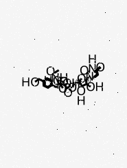 CC(=O)Nc1cc(CO)ccc1CP(=O)(O)OP(=O)(O)OC[C@H]1O[C@@H](n2ccc(=O)[nH]c2=O)C(O)C1O